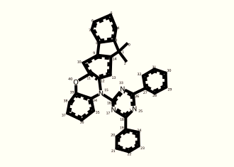 CC1(C)c2ccccc2-c2cc3c(cc21)N(c1nc(-c2ccccc2)nc(-c2ccccc2)n1)c1ccccc1O3